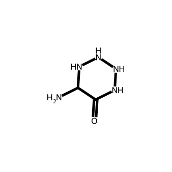 NC1NNNNC1=O